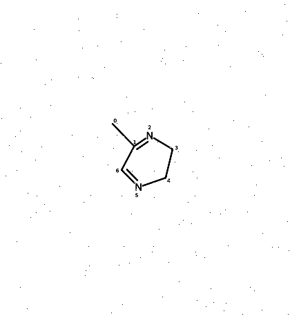 CC1=NCCN=C1